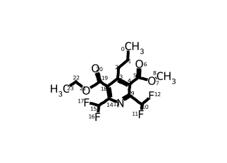 CCCc1c(C(=O)OC)c(C(F)F)nc(C(F)F)c1C(=O)OCC